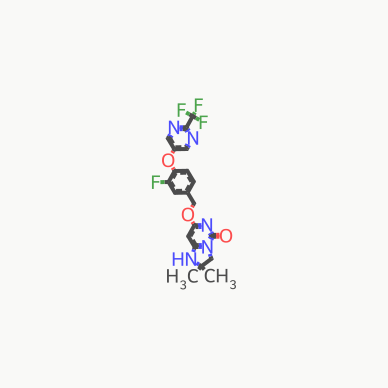 CC1(C)Cn2c(cc(OCc3ccc(Oc4cnc(C(F)(F)F)nc4)c(F)c3)nc2=O)N1